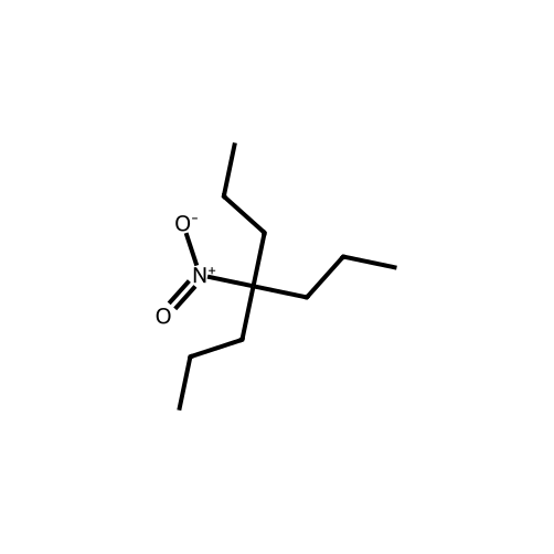 CCCC(CCC)(CCC)[N+](=O)[O-]